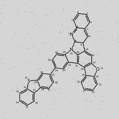 C1=c2ccccc2=NC2C1c1cc3oc4ccccc4c3c3c4cc(-c5ccc6c(c5)sc5ccccc56)ccc4n2c13